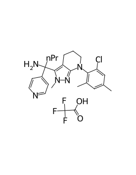 CCCC(N)(c1ccncc1)c1c2c(nn1C)N(c1c(C)cc(C)cc1Cl)CCC2.O=C(O)C(F)(F)F